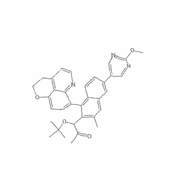 COc1ncc(-c2ccc3c(-c4ccc5c6c(ccnc46)CCO5)c(C(OC(C)(C)C)C(C)=O)c(C)cc3c2)cn1